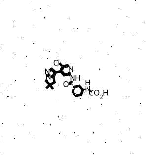 CC1(C)Cc2c(-c3cc(NC(=O)[C@H]4CCC[C@H](NC(=O)O)C4)ncc3Cl)cnn2C1